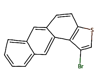 Brc1csc2ccc3cc4ccccc4cc3c12